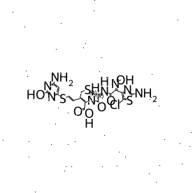 Nc1cc(SC=CC2=C(C(=O)O)N3C(=O)[C@@H](NC(=O)C(=NO)c4nc(N)sc4Cl)[C@H]3SC2)nc(O)n1